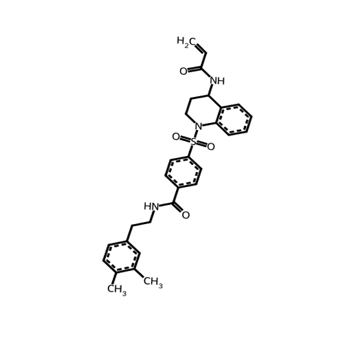 C=CC(=O)NC1CCN(S(=O)(=O)c2ccc(C(=O)NCCc3ccc(C)c(C)c3)cc2)c2ccccc21